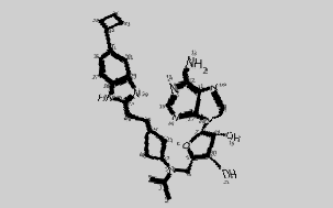 CC(C)N(C[C@H]1O[C@@H](n2cnc3c(N)ncnc32)[C@@H](O)[C@H]1O)C1CC(CCc2nc3cc(C4CCC4)ccc3[nH]2)C1